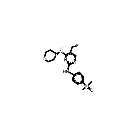 CP(C)(=O)c1ccc(Nc2ncc(CF)c(NN3CCOCC3)n2)cc1